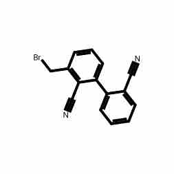 N#Cc1ccccc1-c1cccc(CBr)c1C#N